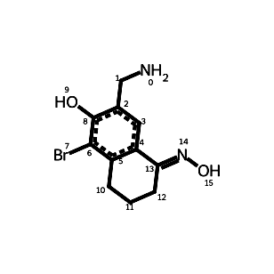 NCc1cc2c(c(Br)c1O)CCCC2=NO